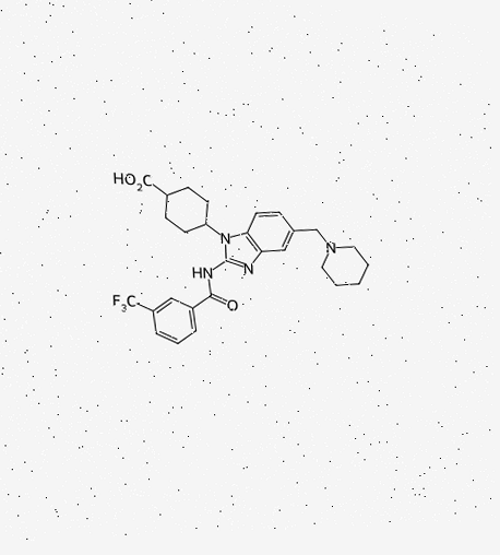 O=C(Nc1nc2cc(CN3CCCCC3)ccc2n1C1CCC(C(=O)O)CC1)c1cccc(C(F)(F)F)c1